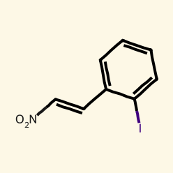 O=[N+]([O-])C=Cc1ccccc1I